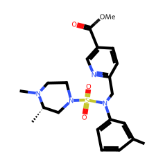 COC(=O)c1ccc(CN(c2cccc(C)c2)S(=O)(=O)N2CCN(C)[C@@H](C)C2)nc1